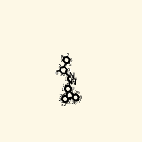 CC1C=C(c2ccccc2)C=C(c2cc(-c3ccc4c5ccccc5c5ccccc5c4c3)ncn2)C1